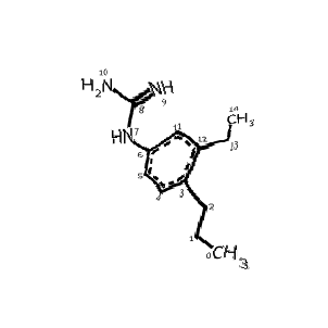 CCCc1ccc(NC(=N)N)cc1CC